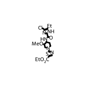 CCOC(=O)c1cnc(N2CCC(NC(=O)c3nc(Cl)c(CC)[nH]3)C(OC)C2)s1